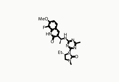 CC[C@H]1CN(C)C(=O)N1c1nc(C)nc(N[C@@H](C)c2cc3ccc(OC)c(F)c3[nH]c2=O)n1